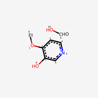 CCOc1ccncc1O.O=CO